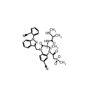 CNC(C)C(=O)N[C@@H]1C(=O)N(Cc2nn(-c3ccccc3C#N)c3ccccc23)c2ccc(C#N)cc2N(C(=O)CS(C)(=O)=O)[C@H]1C